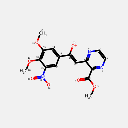 COC(=O)c1nccnc1C=C(O)c1cc(OC)c(OC)c([N+](=O)[O-])c1